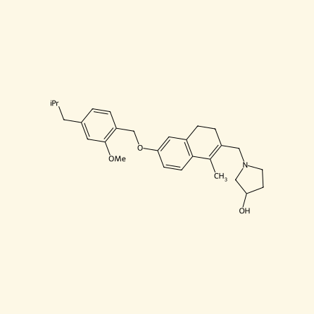 COc1cc(CC(C)C)ccc1COc1ccc2c(c1)CCC(CN1CCC(O)C1)=C2C